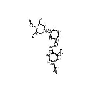 CCCN(C[C@@H](C)COC)c1cccc(OCc2ccc(C#N)cc2F)n1